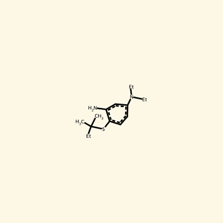 CCN(CC)c1ccc(SC(C)(C)CC)c(N)c1